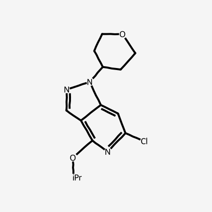 CC(C)Oc1nc(Cl)cc2c1cnn2C1CCOCC1